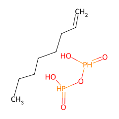 C=CCCCCCC.O=[PH](O)O[PH](=O)O